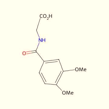 COc1ccc(C(=O)NCC(=O)O)cc1OC